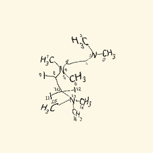 CN(C)CC[N+](C)(C)C(I)C(I)(I)[N+](C)(C)C